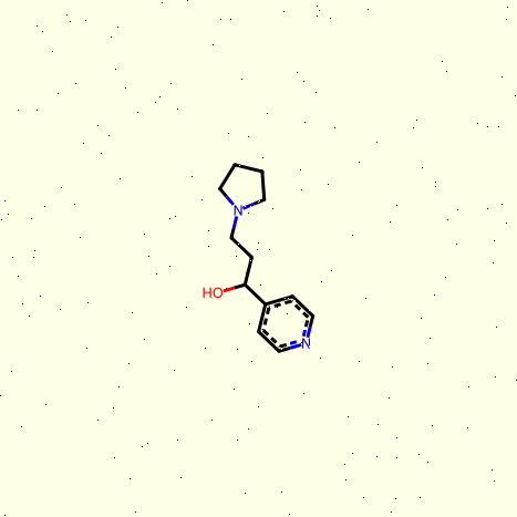 OC(CCN1CCCC1)c1ccncc1